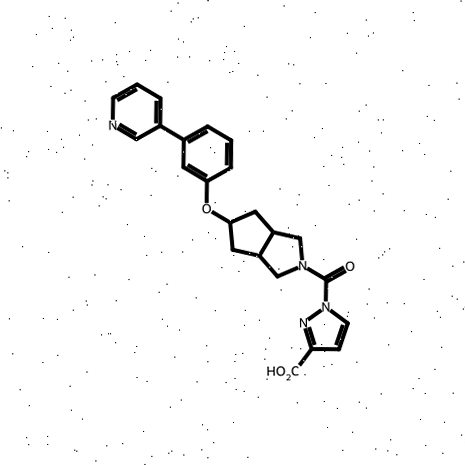 O=C(O)c1ccn(C(=O)N2CC3CC(Oc4cccc(-c5cccnc5)c4)CC3C2)n1